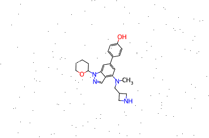 CN(CC1CNC1)c1cc(-c2ccc(O)cc2)cc2c1cnn2C1CCCCO1